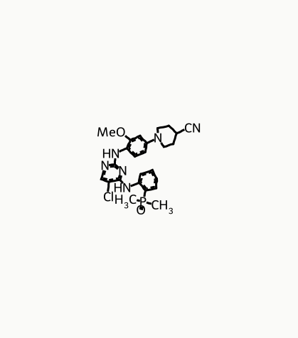 COc1cc(N2CCC(C#N)CC2)ccc1Nc1ncc(Cl)c(Nc2ccccc2P(C)(C)=O)n1